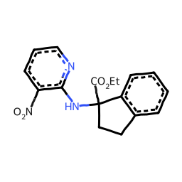 CCOC(=O)C1(Nc2ncccc2[N+](=O)[O-])CCc2ccccc21